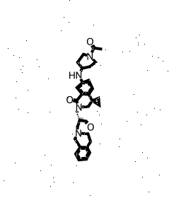 CC(=O)N1CCC(Nc2ccc3c(c2)C(=O)N(C[C@H](C=O)CN2CCc4ccccc4C2)CC32CC2)CC1